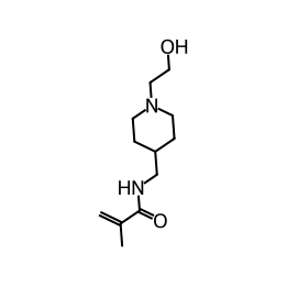 C=C(C)C(=O)NCC1CCN(CCO)CC1